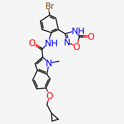 Cn1c(C(=O)Nc2ccc(Br)cc2-c2noc(=O)[nH]2)cc2ccc(OCC3CC3)cc21